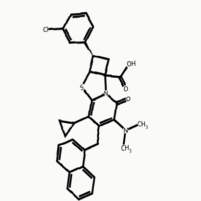 CN(C)c1c(Cc2cccc3ccccc23)c(C2CC2)c2n(c1=O)C1(C(=O)O)C[C@H](c3cccc(Cl)c3)C1S2